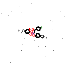 Cc1ccc(OP(=O)(C[C@@H](O)c2ccc(F)cc2)Oc2ccc(C)cc2)cc1